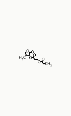 C=CC(=O)OCCC(=O)OC1C(=O)OCC1C